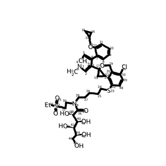 C=N/C=C(\C(=C/C)c1ccccc1OC1CC1)C1(OCc2cc(SCCCCCN(CCS(=O)(=O)CC)C(=O)[C@@H](O)[C@@H](O)[C@H](O)[C@@H](O)CO)ccc2Cl)CC1